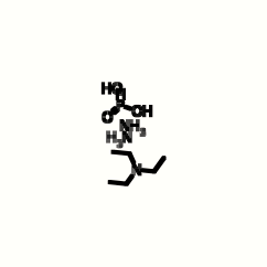 CCN(CC)CC.N.N.O=[PH](O)O